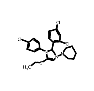 CCSC1=CN(N2CCCCC2)C(c2ccc(Cl)cc2Cl)N1c1ccc(Cl)cc1